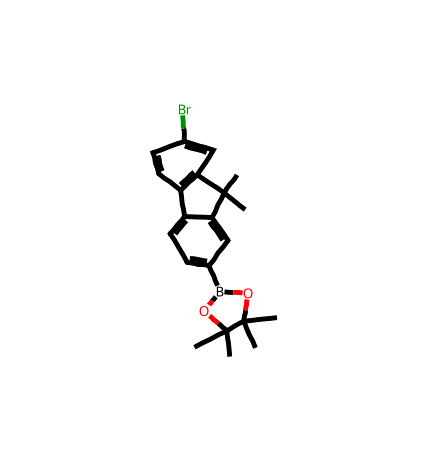 CC1(C)c2cc(Br)ccc2-c2ccc(B3OC(C)(C)C(C)(C)O3)cc21